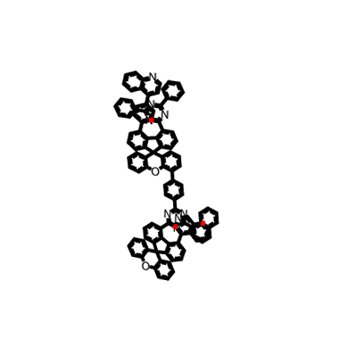 c1ccc(-c2nc(-c3ccccc3)nc(-c3cccc4c3-c3c(-c5ccc(-c6ccnc7ccccc67)cc5)cccc3C43c4ccccc4Oc4c(-c5ccc(-c6nc(-c7cccc8c7-c7c(-c9cncc%10ccccc9%10)cccc7C87c8ccccc8Oc8ccccc87)nc(-c7cccc8ccccc78)n6)cc5)cccc43)n2)cc1